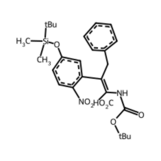 CC(C)(C)OC(=O)NC(C(=O)O)=C(Cc1ccccc1)c1cc(O[Si](C)(C)C(C)(C)C)ccc1[N+](=O)[O-]